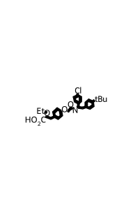 CCO[C@@H](Cc1ccc(OCC(=O)N=C(Cc2ccc(C(C)(C)C)cc2)c2ccc(Cl)cc2)cc1)C(=O)O